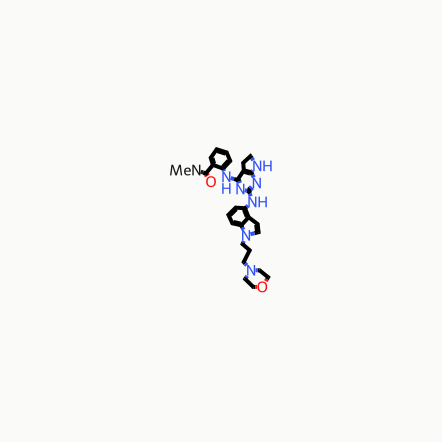 CNC(=O)c1ccccc1Nc1nc(Nc2cccc3c2ccn3CCCN2CCOCC2)nc2c1CCN2